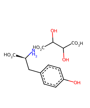 N[C@@H](Cc1ccc(O)cc1)C(=O)O.O=C(O)C(O)C(O)C(=O)O